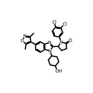 Cc1noc(C)c1-c1ccc2c(c1)nc(C1CCC(=O)N1c1ccc(Cl)c(Cl)c1)n2C1CCC(O)CC1